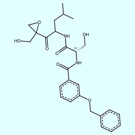 CC(C)CC(NC(=O)[C@H](CO)NC(=O)c1cccc(OCc2ccccc2)c1)C(=O)C1(CO)CO1